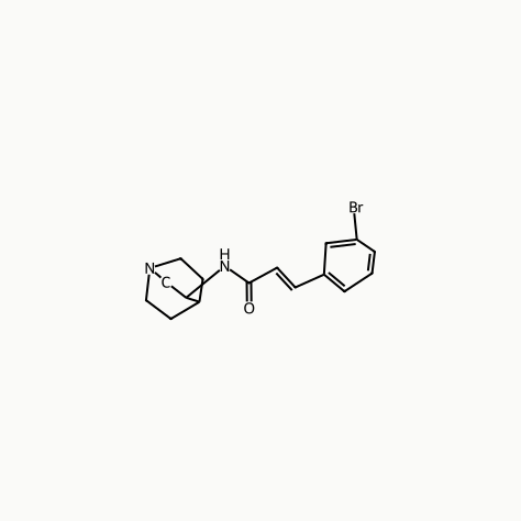 O=C(/C=C/c1cccc(Br)c1)NC1CN2CCC1CC2